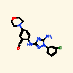 Nc1nc(NC2C=CC(N3CCOCC3)=CC2=C=O)nn1-c1cccc(Cl)c1